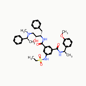 CCS(=O)(=O)Nc1cc(C(=O)N[C@@H](Cc2ccccc2)[C@H](O)CN(C)[C@@H](C)c2ccccc2)cc(C(=O)N[C@H](C)c2cccc(OC)c2)c1